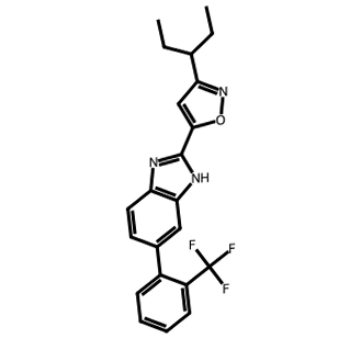 CCC(CC)c1cc(-c2nc3ccc(-c4ccccc4C(F)(F)F)cc3[nH]2)on1